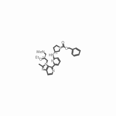 CCO[C@@H](CNC)Cn1c(C)nc2ccnc(-c3cccc(N[C@H]4CCN(C(=O)OCc5ccccc5)C4)n3)c21